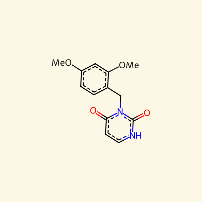 COc1ccc(Cn2c(=O)cc[nH]c2=O)c(OC)c1